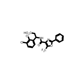 O=C(O)CC(NC(=O)c1nc(-c2ccccc2)oc1C(F)(F)F)c1cccc(Cl)c1Cl